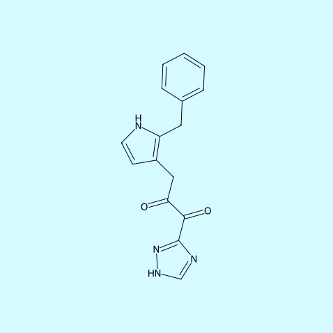 O=C(Cc1cc[nH]c1Cc1ccccc1)C(=O)c1nc[nH]n1